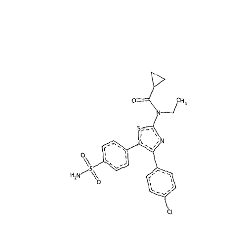 CCN(C(=O)C1CC1)c1nc(-c2ccc(Cl)cc2)c(-c2ccc(S(N)(=O)=O)cc2)s1